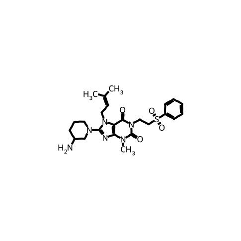 CC(C)=CCn1c(N2CCCC(N)C2)nc2c1c(=O)n(CCS(=O)(=O)c1ccccc1)c(=O)n2C